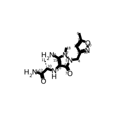 Cc1cc(Cn2c(=O)c(N[C@@H](C)C(N)=O)c(N)n2C)no1